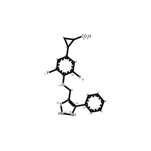 O=C(O)C1CC1c1cc(F)c(OCC2=C(c3ccccc3)NNS2)c(F)c1